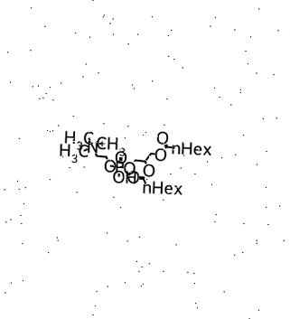 CCCCCCC(=O)OCC(COP(=O)(O)OCC[N+](C)(C)C)OC(=O)CCCCCC